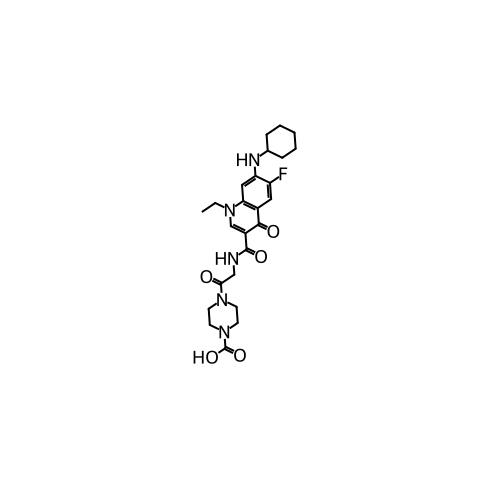 CCn1cc(C(=O)NCC(=O)N2CCN(C(=O)O)CC2)c(=O)c2cc(F)c(NC3CCCCC3)cc21